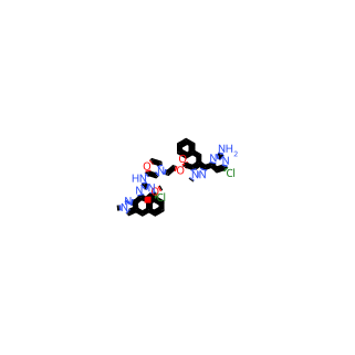 COc1cccc(Cc2cn(C)nc2-c2cc(Cl)nc(NC3CN(CCOC(=O)c4c(Cc5ccccc5)c(-c5cc(Cl)nc(N)n5)nn4C)CCO3)n2)c1